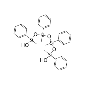 C[Si](O)(O[Si](C)(O[Si](C)(O[Si](C)(O)c1ccccc1)c1ccccc1)c1ccccc1)c1ccccc1